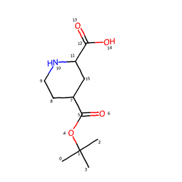 CC(C)(C)OC(=O)C1CCNC(C(=O)O)C1